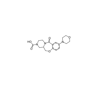 O=C(O)N1CCN2C(=O)c3cc(N4CCOCC4)ccc3OCC2C1